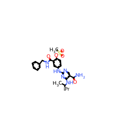 CC(C)C(C)Nc1nc(Nc2ccc(OS(C)(=O)=O)c(C(=O)NCc3ccccc3)c2)ncc1C(N)=O